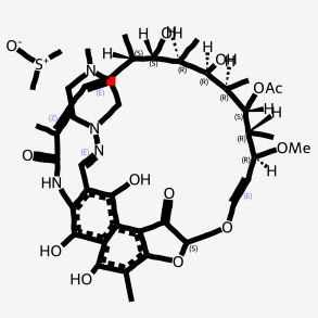 CO[C@H]1/C=C/O[C@@]2(C)Oc3c(C)c(O)c4c(O)c(c(/C=N/N5CCN(C)CC5)c(O)c4c3C2=O)NC(=O)/C(C)=C\C=C\[C@H](C)[C@H](O)[C@@H](C)[C@@H](O)[C@@H](C)[C@H](OC(C)=O)[C@@H]1C.C[S+](C)[O-]